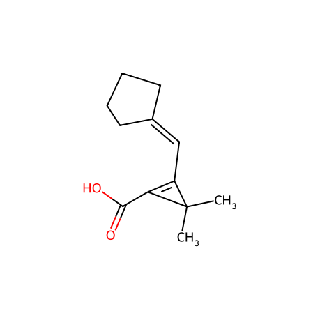 CC1(C)C(C=C2CCCC2)=C1C(=O)O